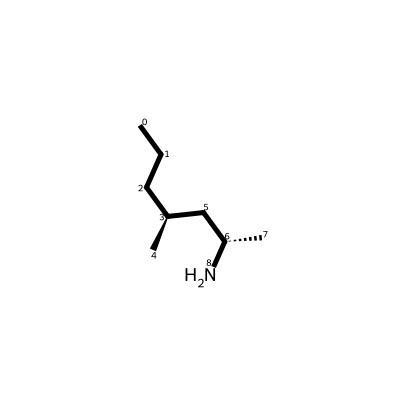 CCC[C@H](C)C[C@H](C)N